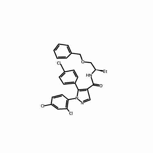 CC[C@H](COCc1ccccc1)NC(=O)c1cnn(-c2ccc(Cl)cc2Cl)c1-c1ccc(Cl)cc1